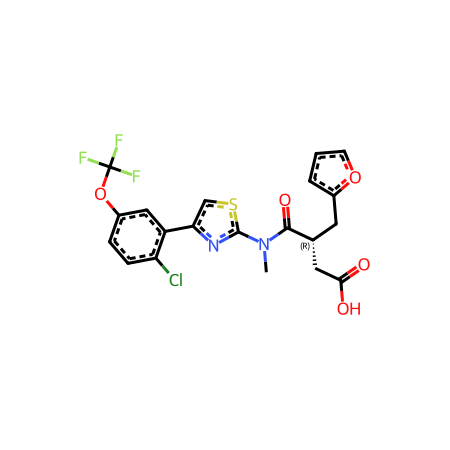 CN(C(=O)[C@@H](CC(=O)O)Cc1ccco1)c1nc(-c2cc(OC(F)(F)F)ccc2Cl)cs1